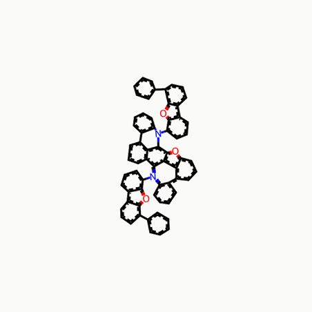 c1ccc(-c2cccc3c2oc2c(N4c5ccccc5-c5cccc6c5c4c4oc5cccc7c8ccccc8n(-c8cccc9c8oc8c(-c%10ccccc%10)cccc89)c6c4c57)cccc23)cc1